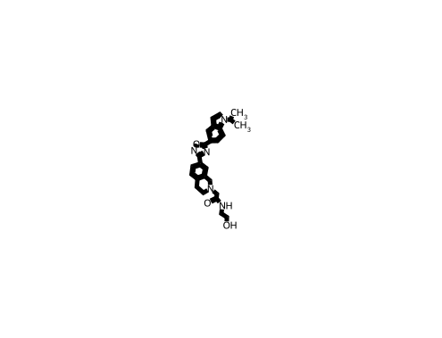 CC(C)n1ccc2cc(-c3nc(-c4ccc5c(c4)CN(CC(=O)NCCO)CC5)no3)ccc21